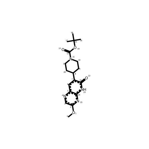 COc1cnc2cc(C3CCN(C(=O)OC(C)(C)C)CC3)c(=O)[nH]c2n1